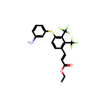 CCOC(=O)C=Cc1ccc(Sc2cccc(N)c2)c(C(F)(F)F)c1C(F)(F)F